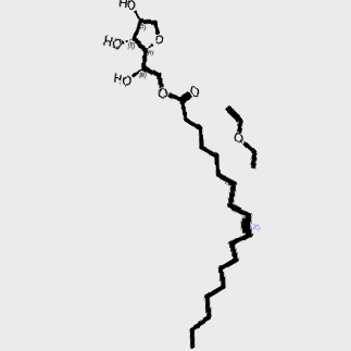 C=COCC.CCCCCCCC/C=C\CCCCCCCC(=O)OC[C@@H](O)[C@H]1OC[C@H](O)[C@H]1O